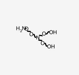 NOCCOCCN(CCOCCO)CCOCCO